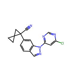 N#CC1(c2ccc3cnn(-c4cc(Cl)ncn4)c3c2)CC12CC2